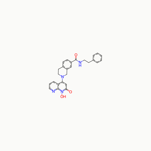 O=C(NCCc1ccccc1)c1ccc2c(c1)CN(c1cc(=O)n(O)c3ncccc13)CC2